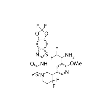 COc1ncc(C2CN([C@@H](C)C(=O)Nc3nc4cc5c(cc4s3)OC(F)(F)O5)CCC2(F)F)cc1C(N)C(F)F